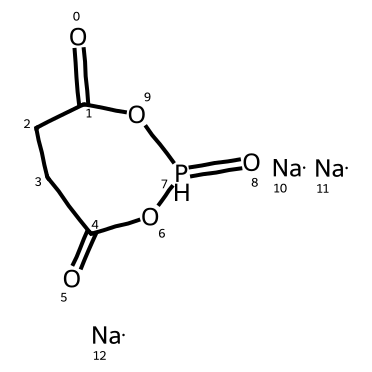 O=C1CCC(=O)O[PH](=O)O1.[Na].[Na].[Na]